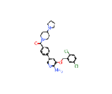 Nc1ncc(-c2ccc(C(=O)N3CCC(N4CCCC4)CC3)cc2)cc1OCc1cc(Cl)ccc1Cl